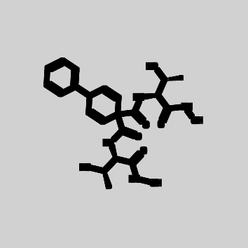 C[C@@H](O)[C@H](NC(=O)C1(C(=O)N[C@@H](C(=O)NO)[C@@H](C)O)C=CC(c2ccccc2)C=C1)C(=O)NO